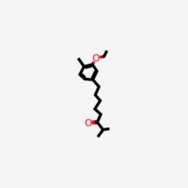 CCOc1cc(CCCCCC(=O)C(C)C)ccc1C